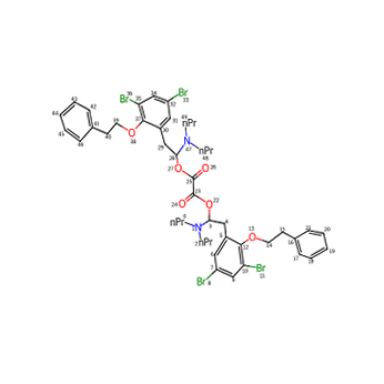 CCCN(CCC)C(Cc1cc(Br)cc(Br)c1OCCc1ccccc1)OC(=O)C(=O)OC(Cc1cc(Br)cc(Br)c1OCCc1ccccc1)N(CCC)CCC